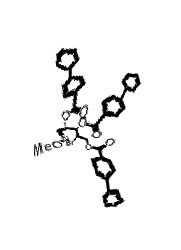 CON=C[C@H](OC(=O)c1ccc(-c2ccccc2)cc1)[C@@H](OC(=O)c1ccc(-c2ccccc2)cc1)[C@H](Br)COC(=O)c1ccc(-c2ccccc2)cc1